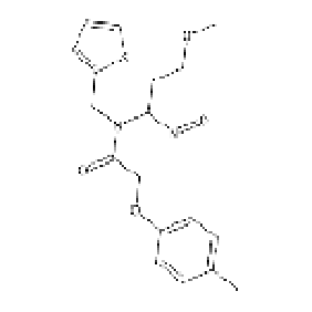 COCCC(N=O)N(Cc1cccs1)C(=O)COc1ccc(C)cc1